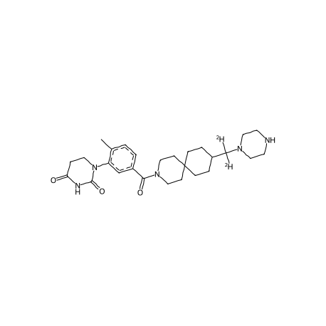 [2H]C([2H])(C1CCC2(CC1)CCN(C(=O)c1ccc(C)c(N3CCC(=O)NC3=O)c1)CC2)N1CCNCC1